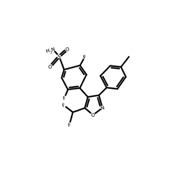 Cc1ccc(-c2noc(C(F)F)c2-c2cc(F)c(S(N)(=O)=O)cc2F)cc1